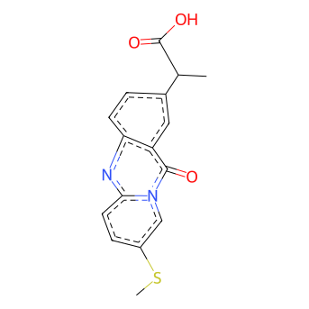 CSc1ccc2nc3ccc(C(C)C(=O)O)cc3c(=O)n2c1